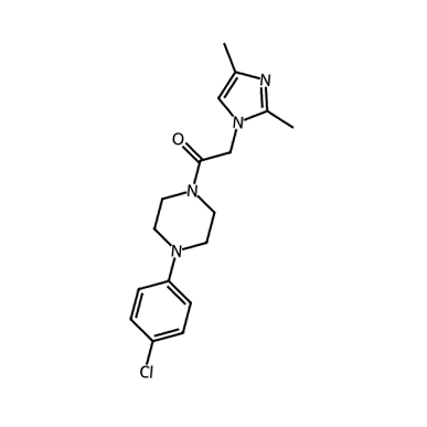 Cc1cn(CC(=O)N2CCN(c3ccc(Cl)cc3)CC2)c(C)n1